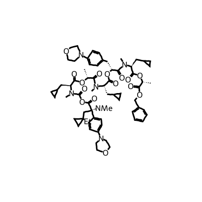 CCC1(C[C@@](NC)(C(=O)OC(=O)N(C)[C@@H](CC2CC2)C(=O)O[C@H](C)C(=O)N(C)[C@@H](CC2CC2)C(=O)O[C@H](Cc2ccc(N3CCOCC3)cc2)C(=O)N(C)[C@@H](CC2CC2)C(=O)O[C@H](C)C(=O)OCc2ccccc2)c2ccc(N3CCOCC3)cc2)CC1